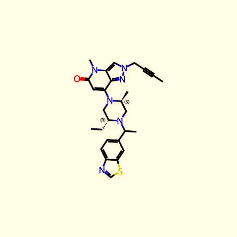 CC#CCn1cc2c(n1)c(N1C[C@@H](CC)N(C(C)c3ccc4ncsc4c3)C[C@@H]1C)cc(=O)n2C